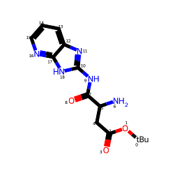 CC(C)(C)OC(=O)CC(N)C(=O)Nc1nc2cccnc2[nH]1